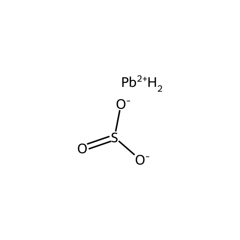 O=S([O-])[O-].[PbH2+2]